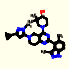 Cc1ccc2[nH]nc(C)c2c1-c1nc2c(c(N3CC[C@@H](O)C(C)(C)C3)n1)CN(c1cc(C3CC3)nn1C)CC2